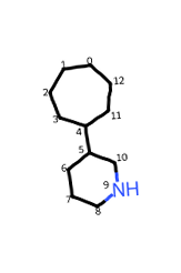 C1CCCC(C2CCCNC2)CC1